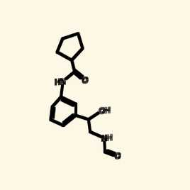 O=CNCC(O)c1cccc(NC(=O)C2CCCC2)c1